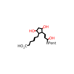 CCCCCC(O)C=CC1C(O)CC(O)C1CC=CCCC(=O)O